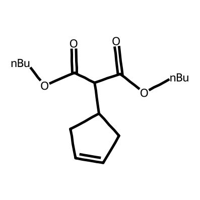 CCCCOC(=O)C(C(=O)OCCCC)C1CC=CC1